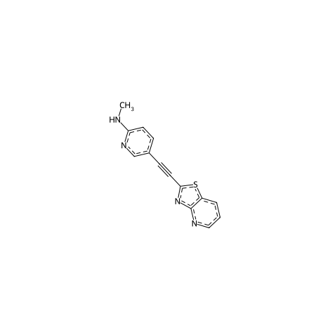 CNc1ccc(C#Cc2nc3ncccc3s2)cn1